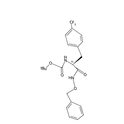 CC(C)(C)OC(=O)N[C@@H](Cc1ccc(C(F)(F)F)cc1)C(=O)NOCc1ccccc1